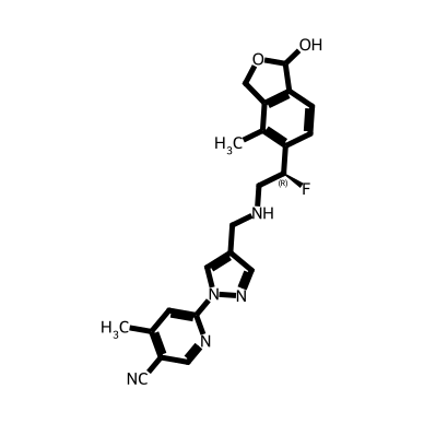 Cc1cc(-n2cc(CNC[C@H](F)c3ccc4c(c3C)COC4O)cn2)ncc1C#N